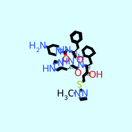 Cn1ccnc1SCC[C@H](O)[C@H](CC1CCCCC1)NC(=O)[C@H](Cc1c[nH]cn1)NC(=O)[C@H](Cc1ccccc1)NC(=O)N1CCC(N)CC1